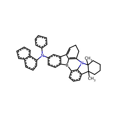 CC12CCCCC1(C)N1C3=C4B(c5ccc(N(c6ccccc6)c6cccc7ccccc67)cc5C4=CCC3)c3cccc2c31